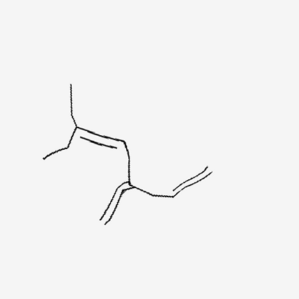 C=CC(=C)C=C(C)C